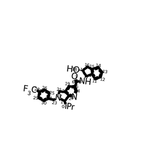 CC(C)C1c2ncc(C(=O)N[C@H]3c4ccccc4C[C@H]3O)cc2CN1Cc1ccc(C(F)(F)F)cc1